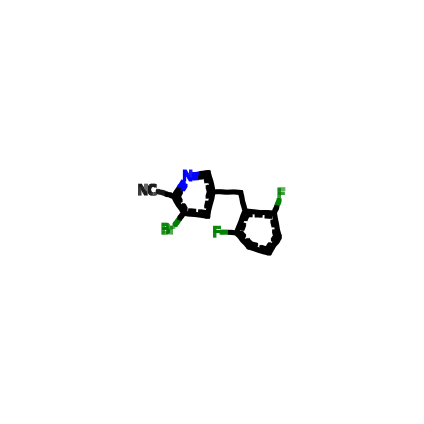 N#Cc1ncc(Cc2c(F)cccc2F)cc1Br